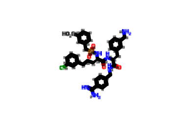 N=C(N)c1ccc(CNC(=O)[C@H](Cc2cccc(CN)c2)NC(=O)[C@@H](CCCc2cccc(Cl)c2)NS(=O)(=O)Cc2cccc(C(=O)O)c2)cc1